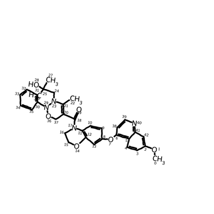 COc1ccc2c(Oc3ccc4c(c3)OCCN4C(=O)C3=C(C)N(CC(C)(C)O)N(c4ccccc4)OC3)ccnc2c1